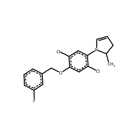 CC1CC=CN1c1cc(Cl)c(OCc2cccc(F)c2)cc1Cl